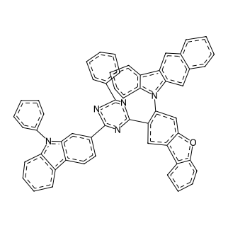 c1ccc(-c2nc(-c3ccc4c5ccccc5n(-c5ccccc5)c4c3)nc(-c3cc4c(cc3-n3c5ccccc5c5cc6ccccc6cc53)oc3ccccc34)n2)cc1